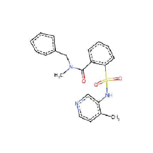 Cc1ccncc1NS(=O)(=O)c1ccccc1C(=O)N(C)Cc1ccccc1